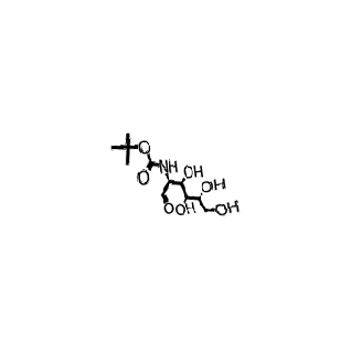 CC(C)(C)OC(=O)N[C@H](C=O)[C@@H](O)[C@H](O)[C@H](O)CO